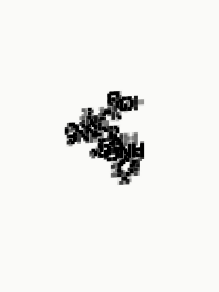 COc1cc(C(C)(NC(C)=O)N(C)CCCC(=O)O)ccc1NC(=O)Nc1ccccc1C